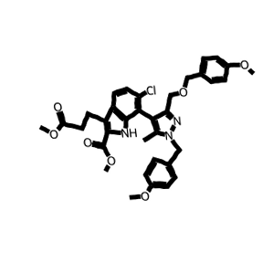 COC(=O)CCc1c(C(=O)OC)[nH]c2c(-c3c(COCc4ccc(OC)cc4)nn(Cc4ccc(OC)cc4)c3C)c(Cl)ccc12